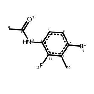 CC(=O)Nc1ccc(Br)c(C)c1F